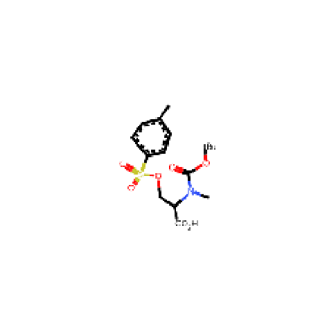 Cc1ccc(S(=O)(=O)OCC(C(=O)O)N(C)C(=O)OC(C)(C)C)cc1